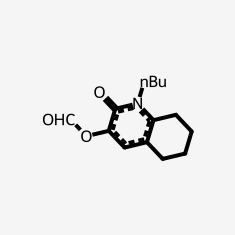 CCCCn1c2c(cc(OC=O)c1=O)CCCC2